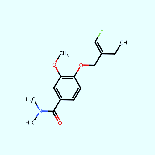 CCC(=CF)COc1ccc(C(=O)N(C)C)cc1OC